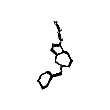 [N-]=[N+]=Nc1ncc2n1CCCN(CC1CCCCC1)C2